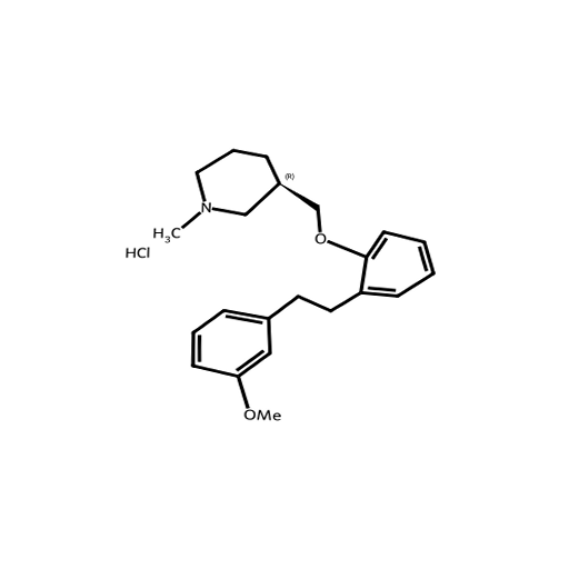 COc1cccc(CCc2ccccc2OC[C@@H]2CCCN(C)C2)c1.Cl